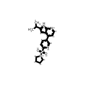 CC(C)c1cc2c(-c3ccc(S(=O)(=O)N4CCCC4)nc3)ccnc2[nH]1